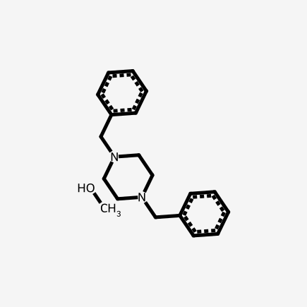 CO.c1ccc(CN2CCN(Cc3ccccc3)CC2)cc1